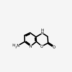 Nc1ccc2c(n1)OC(=O)CN2